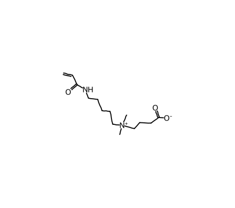 C=CC(=O)NCCCCC[N+](C)(C)CCCC(=O)[O-]